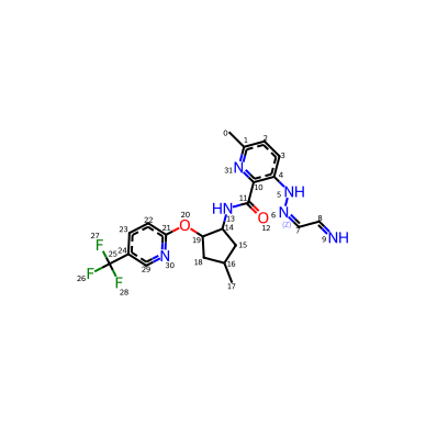 Cc1ccc(N/N=C\C=N)c(C(=O)NC2CC(C)CC2Oc2ccc(C(F)(F)F)cn2)n1